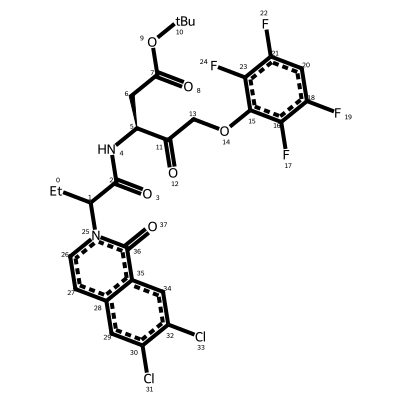 CCC(C(=O)N[C@@H](CC(=O)OC(C)(C)C)C(=O)COc1c(F)c(F)cc(F)c1F)n1ccc2cc(Cl)c(Cl)cc2c1=O